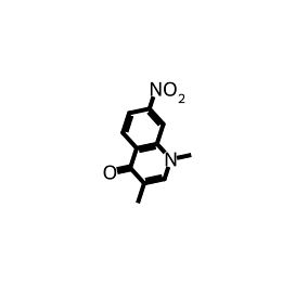 Cc1cn(C)c2cc([N+](=O)[O-])ccc2c1=O